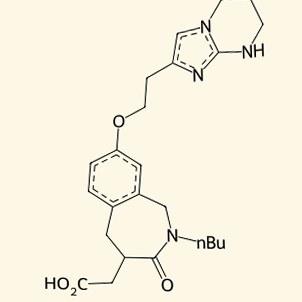 CCCCN1Cc2cc(OCCc3cn4c(n3)NCCC4)ccc2CC(CC(=O)O)C1=O